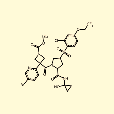 CC(C)(C)OC(=O)N1CC(C(=O)N2CC(S(=O)(=O)c3ccc(OCC(F)(F)F)cc3Cl)CC2C(=O)NC2(C#N)CC2)(c2ccc(Br)cn2)C1